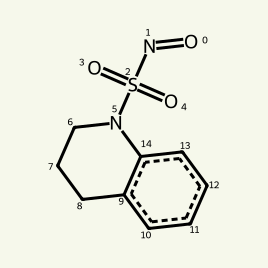 O=NS(=O)(=O)N1CCCc2ccccc21